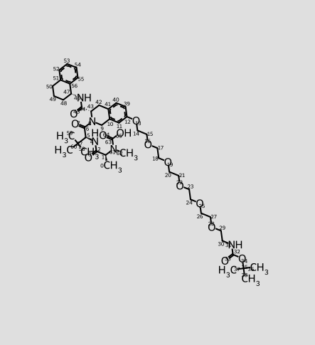 C[C@@H](C(=O)N[C@H](C(=O)N1Cc2cc(OCCOCCOCCOCCOCCOCCNC(=O)OC(C)(C)C)ccc2C[C@H]1C(=O)N[C@@H]1CCCc2ccccc21)C(C)(C)C)N(C)C(=O)O